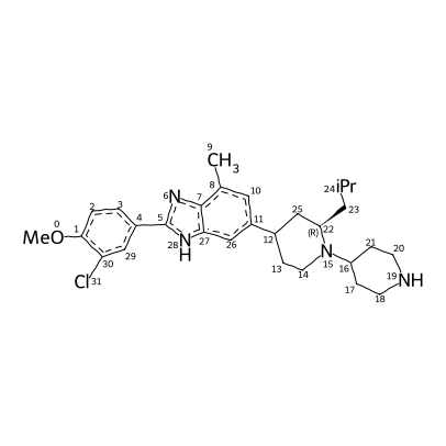 COc1ccc(-c2nc3c(C)cc(C4CCN(C5CCNCC5)[C@H](CC(C)C)C4)cc3[nH]2)cc1Cl